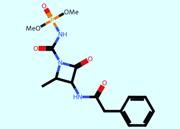 COP(=O)(NC(=O)N1C(=O)C(NC(=O)Cc2ccccc2)C1C)OC